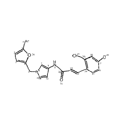 CC(=O)c1ccc(Cn2cc(NC(=O)/C=C/c3ccc(Cl)cc3Cl)cn2)o1